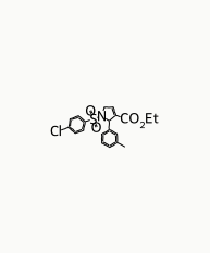 CCOC(=O)C1=CCN(S(=O)(=O)c2ccc(Cl)cc2)C1c1cccc(C)c1